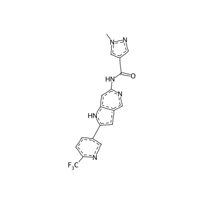 Cn1cc(C(=O)Nc2cc3[nH]c(-c4ccc(C(F)(F)F)nc4)cc3cn2)cn1